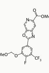 COCOc1cc(-c2nc3cc(C(=O)OC)ncc3o2)cc(C(F)(F)F)c1F